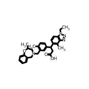 CCn1nnc2c(C)c(C(CC(=O)O)c3ccc(C)c(CN4Cc5ccccc5OC(C)C4)c3)ccc21